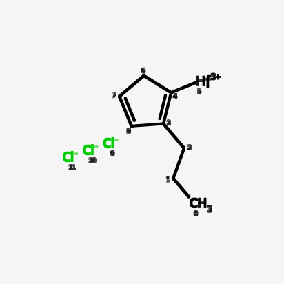 CCCC1=[C]([Hf+3])CC=C1.[Cl-].[Cl-].[Cl-]